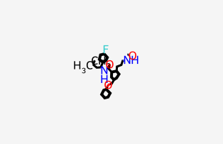 CC(C)CC(NC(=O)c1cc(COc2ccccc2)ccc1CCCNC=O)c1ccc(F)cc1